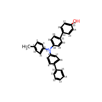 Cc1ccc(N(c2ccc(-c3ccccc3)cc2)c2ccc(-c3ccc(O)cc3)cc2)cc1